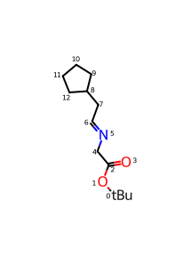 CC(C)(C)OC(=O)C/N=C/CC1CCCC1